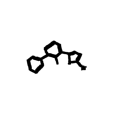 Cc1c(-c2ccccc2)cccc1-c1ccc(Br)s1